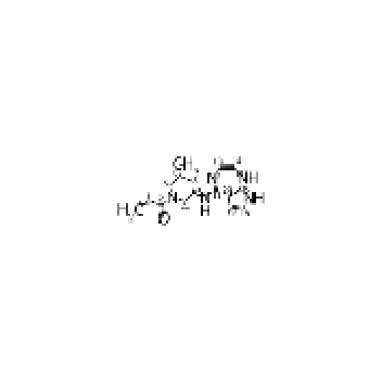 C=CC(=O)N1CC(C)C[C@@H](NC2=NC#CNc3[nH]ccc32)C1